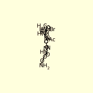 CC(=O)c1nn(CC(=O)N2C[C@H]3C[C@H]3[C@H]2C(=O)Nc2nc(Br)ccc2C)c2ccc(-c3cnc(CNC(=O)COCCOCCN)nc3)cc12